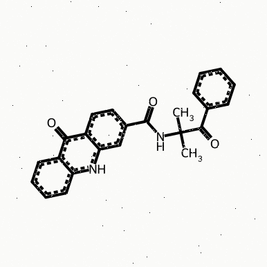 CC(C)(NC(=O)c1ccc2c(=O)c3ccccc3[nH]c2c1)C(=O)c1ccccc1